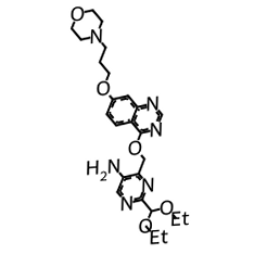 CCOC(OCC)c1ncc(N)c(COc2ncnc3cc(OCCCN4CCOCC4)ccc23)n1